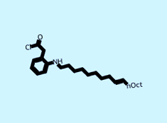 CCCCCCCCC=CCCCCCCCCNc1ccccc1CC(=O)Cl